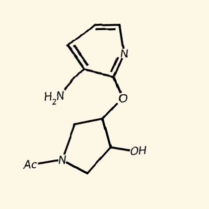 CC(=O)N1CC(O)C(Oc2ncccc2N)C1